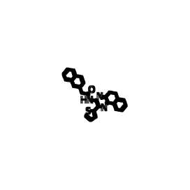 O=C(Cc1ccc2ccccc2c1)Nc1nc2c(nc1-c1cccs1)-c1ccccc1CC2